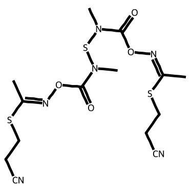 CC(=NOC(=O)N(C)SN(C)C(=O)ON=C(C)SCCC#N)SCCC#N